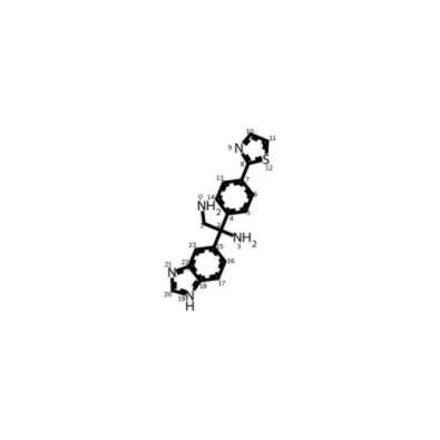 NCC(N)(c1ccc(-c2nccs2)cc1)c1ccc2[nH]cnc2c1